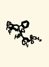 CC[C@H]1C[C@@H](c2ccccc2)N(C(=O)NC(C)/C=C/S(C)(=O)=O)CC1(F)F